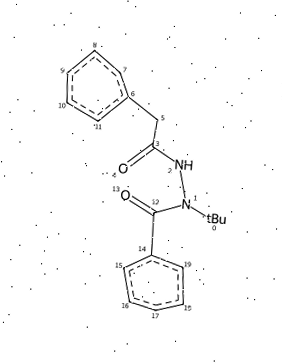 CC(C)(C)N(NC(=O)Cc1ccccc1)C(=O)c1ccccc1